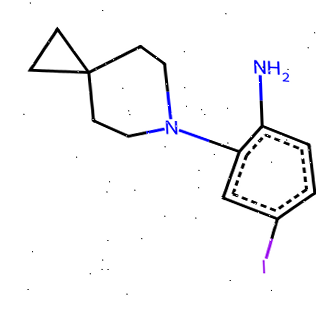 Nc1ccc(I)cc1N1CCC2(CC1)CC2